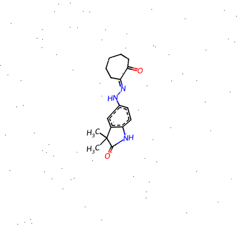 CC1(C)C(=O)Nc2ccc(N/N=C3\CCCCCC3=O)cc21